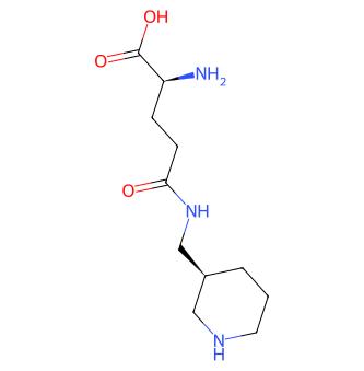 N[C@@H](CCC(=O)NC[C@H]1CCCNC1)C(=O)O